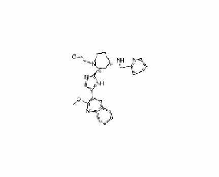 COc1nc2ccccc2cc1-c1cnc([C@@H]2C[C@@H](NCc3ccccn3)CCN2CC=O)[nH]1